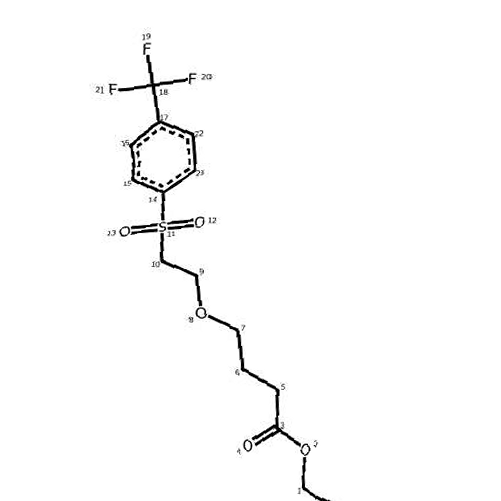 CCOC(=O)CCCOCCS(=O)(=O)c1ccc(C(F)(F)F)cc1